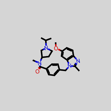 COc1ccc2nc(C)n(Cc3ccc(C(=O)N(C)C4CCN(C(C)C)C4)cc3)c2c1